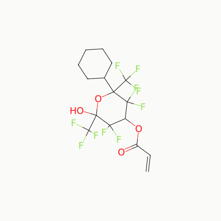 C=CC(=O)OC1C(F)(F)C(O)(C(F)(F)F)OC(C2CCCCC2)(C(F)(F)F)C1(F)F